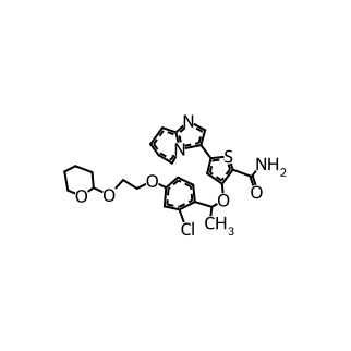 CC(Oc1cc(-c2cnc3ccccn23)sc1C(N)=O)c1ccc(OCCOC2CCCCO2)cc1Cl